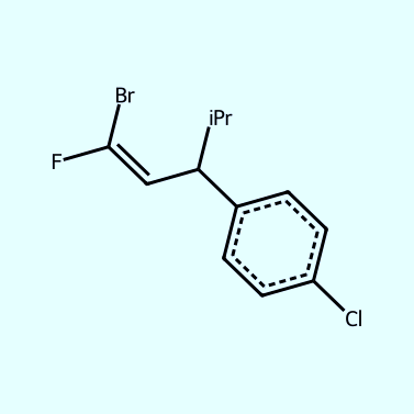 CC(C)C(C=C(F)Br)c1ccc(Cl)cc1